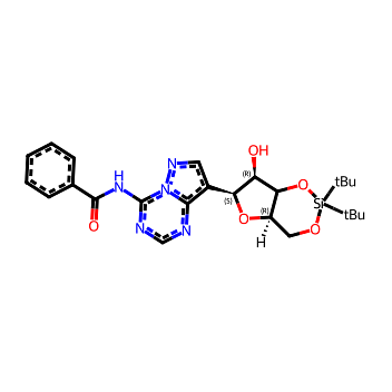 CC(C)(C)[Si]1(C(C)(C)C)OC[C@H]2O[C@@H](c3cnn4c(NC(=O)c5ccccc5)ncnc34)[C@@H](O)C2O1